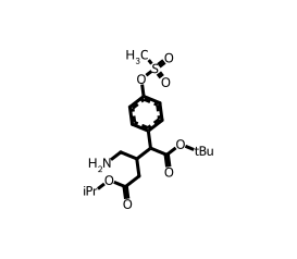 CC(C)OC(=O)CC(CN)C(C(=O)OC(C)(C)C)c1ccc(OS(C)(=O)=O)cc1